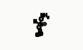 CS(=O)(=O)COc1ccc2c(C#N)c(-c3ccc(N)cc3)n(C3CCC3)c2c1